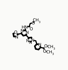 COCC(=O)Nc1nc(-c2cn(Cc3cccc(C(OC)OC)n3)nn2)cc(-c2ncco2)n1